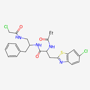 CCC(=O)NC(Cc1nc2ccc(Cl)cc2s1)C(=O)NC(CNC(=O)CCl)Cc1ccccc1